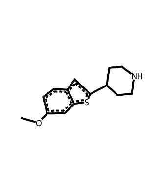 COc1ccc2cc(C3CCNCC3)sc2c1